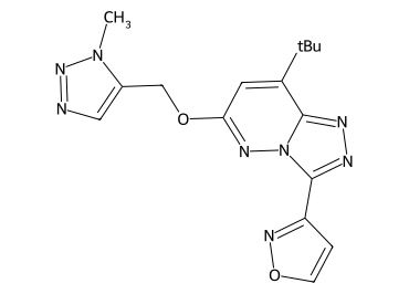 Cn1nncc1COc1cc(C(C)(C)C)c2nnc(-c3ccon3)n2n1